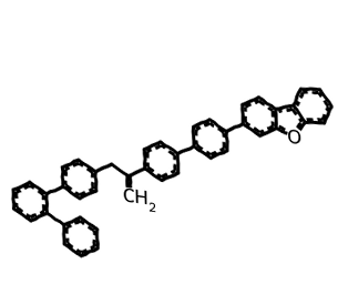 C=C(Cc1ccc(-c2ccccc2-c2ccccc2)cc1)c1ccc(-c2ccc(-c3ccc4c(c3)oc3ccccc34)cc2)cc1